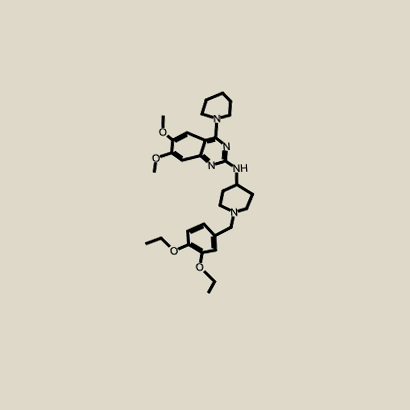 CCOc1ccc(CN2CCC(Nc3nc(N4CCCCC4)c4cc(OC)c(OC)cc4n3)CC2)cc1OCC